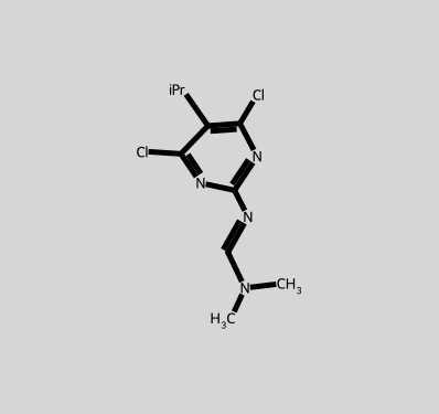 CC(C)c1c(Cl)nc(N=CN(C)C)nc1Cl